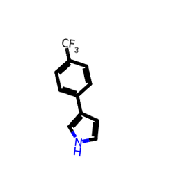 FC(F)(F)c1ccc(-c2cc[nH]c2)cc1